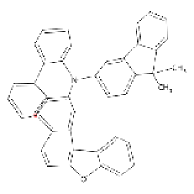 CC1(C)c2ccccc2-c2cc(N(c3ccc4ccc5oc6ccccc6c5c4c3)c3ccccc3-c3ccccc3)ccc21